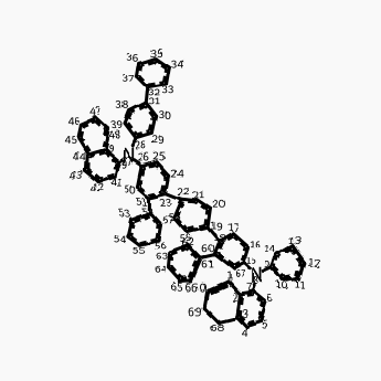 C1=Cc2c(cccc2N(c2ccccc2)c2ccc(-c3ccc(-c4ccc(N(c5ccc(-c6ccccc6)cc5)c5cccc6ccccc56)cc4-c4ccccc4)cc3)c(-c3ccccc3)c2)CC1